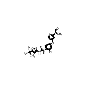 CN(C=O)c1cc(Oc2ccc(NC(=O)Nc3cc(C(C)(C)C)on3)c(Cl)c2)ccn1